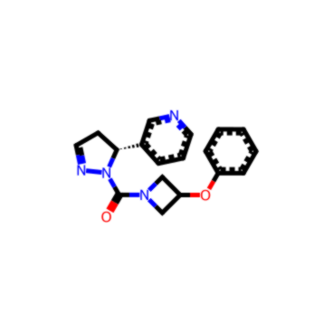 O=C(N1CC(Oc2ccccc2)C1)N1N=CC[C@@H]1c1cccnc1